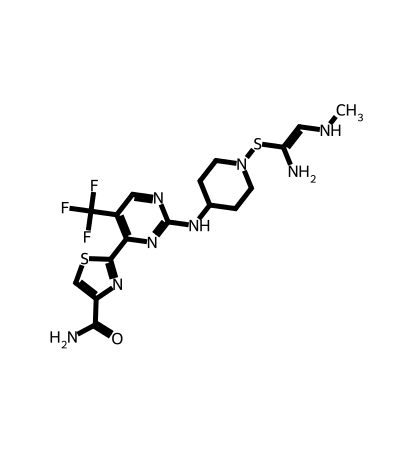 CN/C=C(\N)SN1CCC(Nc2ncc(C(F)(F)F)c(-c3nc(C(N)=O)cs3)n2)CC1